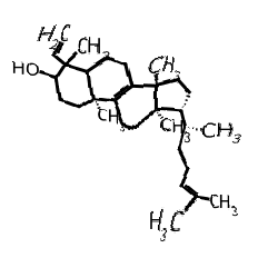 C=CC1(C)C(O)CC[C@]2(C)C3=C(CCC12)[C@]1(C)CC[C@H]([C@H](C)CCC=C(C)C)[C@@]1(C)CC3